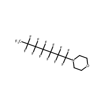 FC(F)(F)C(F)(F)C(F)(F)C(F)(F)C(F)(F)C(F)(F)C(F)(F)N1CCOCC1